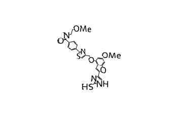 COCCN(C)C(=O)c1ccc(-c2nc(COc3cc(OC)cc4oc(-c5c[nH]c(S)n5)cc34)cs2)cc1